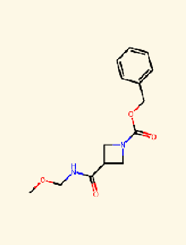 COCNC(=O)C1CN(C(=O)OCc2ccccc2)C1